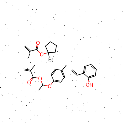 C=C(C)C(=O)OC(C)Oc1ccc(C)cc1.C=C(C)C(=O)OC1(CC)CCCC1.C=Cc1ccccc1O